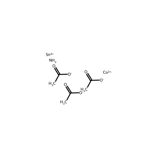 CC(=O)[O-].CC(=O)[O-].CC(=O)[O-].N.[Co+2].[Sn+4]